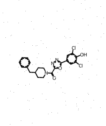 O=C(c1nnc(-c2cc(Cl)c(O)c(Cl)c2)o1)N1CCC(Cc2ccccc2)CC1